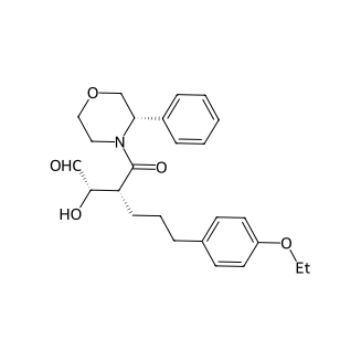 CCOc1ccc(CCC[C@@H](C(=O)N2CCOC[C@@H]2c2ccccc2)[C@H](O)C=O)cc1